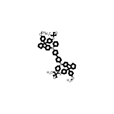 CCC1(CSc2ccc(C3(c4ccc(OC)cc4)c4ccccc4-c4ccc(N(c5ccccc5)c5ccc(-c6ccc(N(c7ccccc7)c7ccc8c(c7)C(c7ccc(OC)cc7)(c7ccc(SC9(CC)COC9)cc7)c7ccccc7-8)cc6)cc5)cc43)cc2)COC1